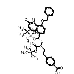 CC(C)(C)OC(=O)N(CCc1ccc(C(=O)O)cc1)C[C@H](O[Si](C)(C)C(C)(C)C)c1ccc(OCc2ccccc2)c2[nH]c(=O)ccc12